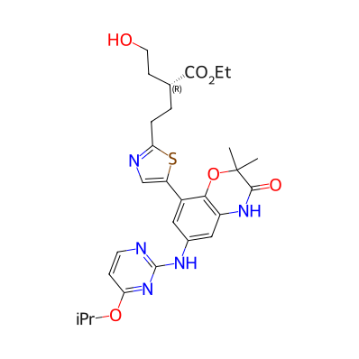 CCOC(=O)[C@@H](CCO)CCc1ncc(-c2cc(Nc3nccc(OC(C)C)n3)cc3c2OC(C)(C)C(=O)N3)s1